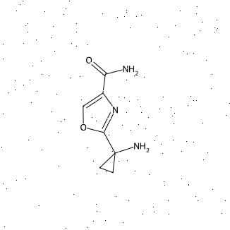 NC(=O)c1coc(C2(N)CC2)n1